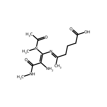 CNC(=O)/C(N)=C(/N=C(\C)CCCC(=O)O)N(C)C(C)=O